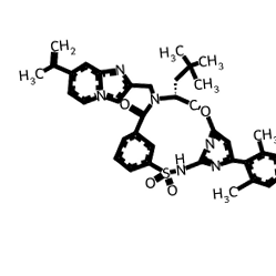 C=C(C)c1ccn2cc(CN3C(=O)c4cccc(c4)S(=O)(=O)Nc4nc(cc(-c5c(C)cccc5C)n4)OC[C@H]3CC(C)(C)C)nc2c1